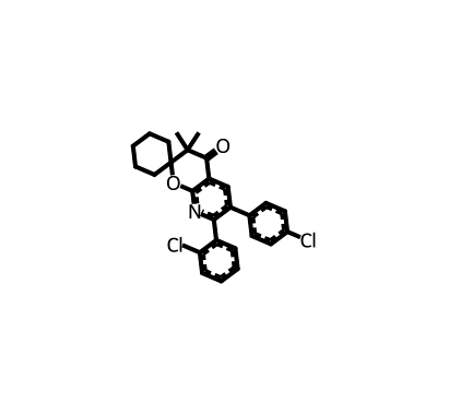 CC1(C)C(=O)c2cc(-c3ccc(Cl)cc3)c(-c3ccccc3Cl)nc2OC12CCCCC2